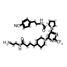 N#Cc1ccc(CCNC(=O)[C@@H]2CCCN2c2cc(N3CCC(CCCC(=O)NCCN)CC3)nc(C(F)(F)F)n2)cc1